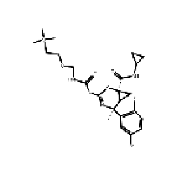 C[C@]1(c2cc(Br)ccc2F)N=C(OC(=O)NCOCC[Si](C)(C)C)S[C@@]2(C(=O)NC3CC3)CC21